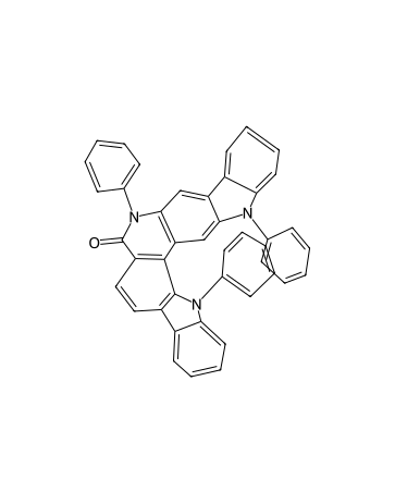 O=c1c2ccc3c4ccccc4n(-c4ccccc4)c3c2c2cc3c(cc2n1-c1ccccc1)c1ccccc1n3-c1ccccc1